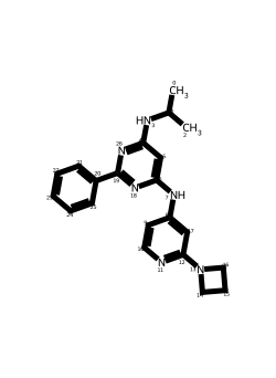 CC(C)Nc1cc(Nc2ccnc(N3CCC3)c2)nc(-c2ccccc2)n1